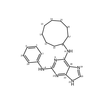 c1ccc(Nc2nc(NC3CCCCCCCC3)c3nc[nH]c3n2)cc1